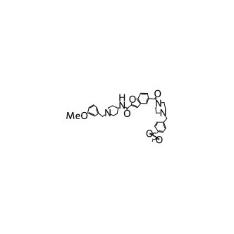 COc1cccc(CN2CCC(NC(=O)c3cc4cc(C(=O)N5CCN(Cc6ccc(S(C)(=O)=O)cc6)CC5)ccc4o3)CC2)c1